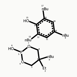 CCCCC1(CC)COP(O)OC1.CCCCc1cc(CCCC)c(O)c(CCCC)c1